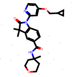 CC1(NC(=O)c2ccc3c(c2)C(C)(C)C(=O)N3c2cc(OCC3CC3)ccn2)CCOCC1